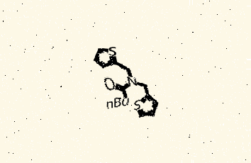 CC[CH]CC(=O)N(Cc1cccs1)Cc1cccs1